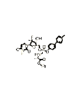 Cc1ccc(-c2ccc(OP(=O)(CN[C@@H](C)C(=O)OC(C)C)OC[C@H]3O[C@@H](n4ccc(=O)[nH]c4=O)[C@](C)(F)[C@@H]3O)cc2)cc1